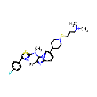 CCc1nc2ccc(C3CCN(SCCCN(C)C)CC3)cn2c1N(C)c1nc(-c2ccc(F)cc2)cs1